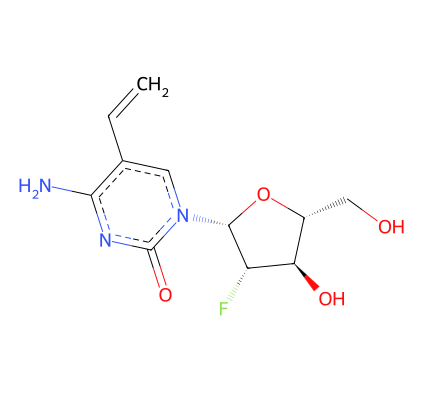 C=Cc1cn([C@@H]2O[C@H](CO)[C@@H](O)[C@@H]2F)c(=O)nc1N